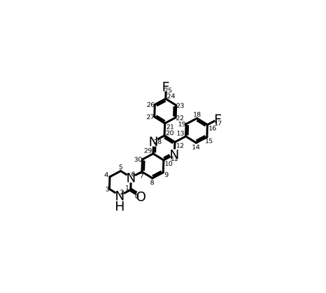 O=C1NCCCN1c1ccc2nc(-c3ccc(F)cc3)c(-c3ccc(F)cc3)nc2c1